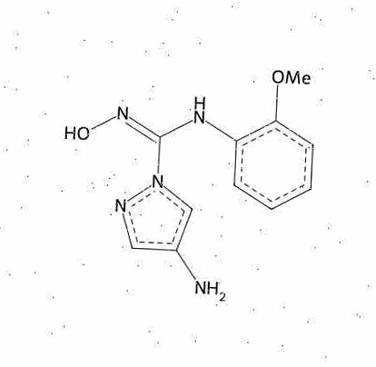 COc1ccccc1NC(=NO)n1cc(N)cn1